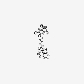 O=Cc1cc(OCCCCCC(=O)NN2CCCC3CCCCC32)c(Cl)cc1[N+](=O)[O-]